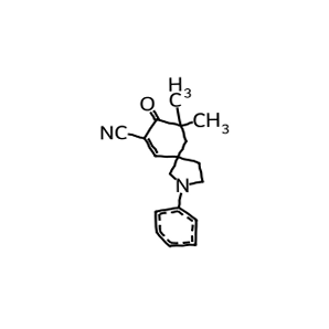 CC1(C)CC2(C=C(C#N)C1=O)CCN(c1ccccc1)C2